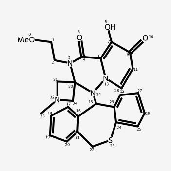 COCCN1C(=O)c2c(O)c(=O)ccn2N(C2c3ccccc3CSc3ccccc32)C12CN(C)C2